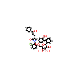 O=C1[C@H](CC[C@H](O)c2ccccc2)[C@@H](c2ccc(-c3ccccc3[C@@H]3O[C@H](CO)[C@@H](O)[C@H](O)[C@H]3O)c(O)c2)N1c1ccccc1F